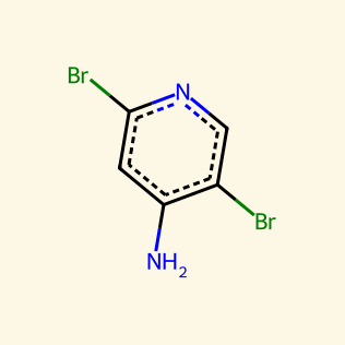 Nc1cc(Br)ncc1Br